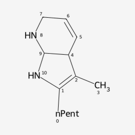 CCCCCC1=C(C)C2C=CCNC2N1